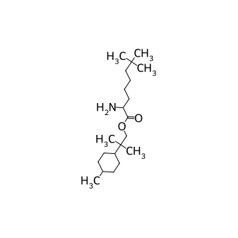 CC1CCC(C(C)(C)COC(=O)C(N)CCCCC(C)(C)C)CC1